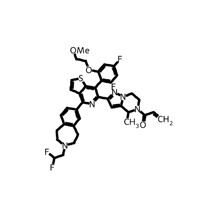 C=CC(=O)N1CCn2nc(-c3nc(-c4ccc5c(c4)CCN(CC(F)F)CC5)c4ccsc4c3-c3c(F)cc(F)cc3OCCOC)cc2C1C